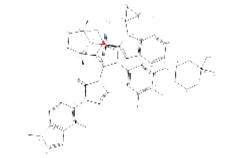 Cc1cc(-n2nc3c(c2-n2ccn(-c4ccc5c(cnn5C)c4F)c2=O)[C@@H]2CC[C@H](C3)N2S(=O)(=O)c2cc3cc([C@H]4CCOC(C)(C)C4)ccc3n2[C@@]2(C#N)C[C@@H]2C)cc(C)c1F